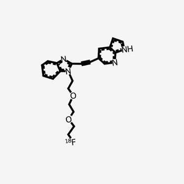 [18F]CCOCCOCCn1c(C#Cc2cnc3[nH]ccc3c2)nc2ccccc21